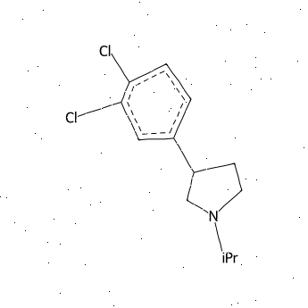 CC(C)N1CCC(c2ccc(Cl)c(Cl)c2)C1